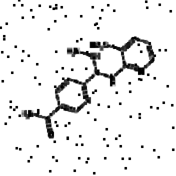 NNN(Nc1ncccc1C(=O)O)c1ccc(C(N)=O)cn1